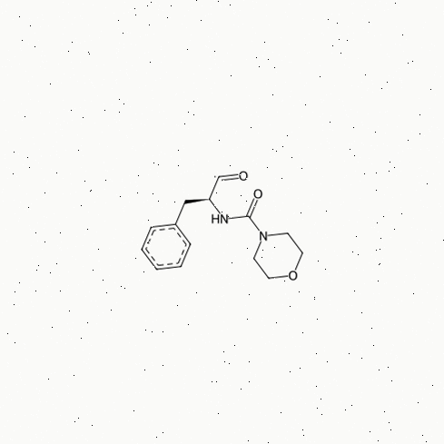 O=[C][C@H](Cc1ccccc1)NC(=O)N1CCOCC1